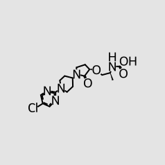 C[C@@H](CO[C@@H]1CCN(C2CCN(c3ncc(Cl)cn3)CC2)C1=O)NC(=O)O